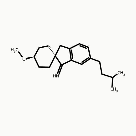 CO[C@H]1CC[C@]2(CC1)Cc1ccc(CCC(C)C)cc1C2=N